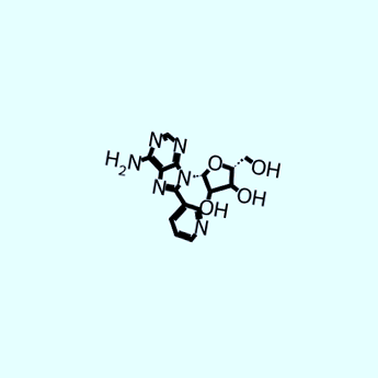 Nc1ncnc2c1nc(-c1cccnc1)n2[C@@H]1O[C@H](CO)C(O)C1O